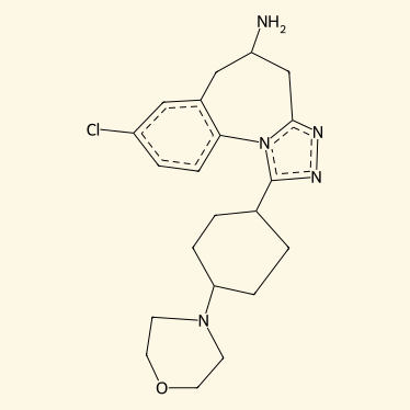 NC1Cc2cc(Cl)ccc2-n2c(nnc2C2CCC(N3CCOCC3)CC2)C1